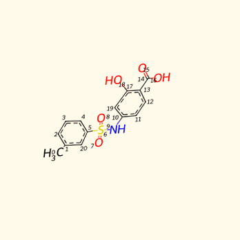 Cc1cccc(S(=O)(=O)Nc2ccc(C(=O)O)c(O)c2)c1